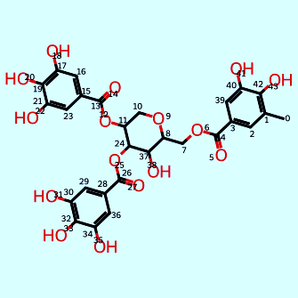 Cc1cc(C(=O)OCC2OCC(OC(=O)c3cc(O)c(O)c(O)c3)C(OC(=O)c3cc(O)c(O)c(O)c3)C2O)cc(O)c1O